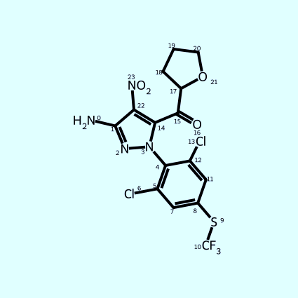 Nc1nn(-c2c(Cl)cc(SC(F)(F)F)cc2Cl)c(C(=O)C2CCCO2)c1[N+](=O)[O-]